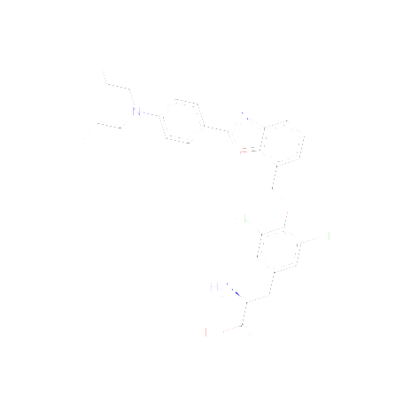 N[C@@H](Cc1cc(Cl)c(OCc2cccc3nc(-c4ccc(N(CCCl)CCCl)cc4)oc23)c(Cl)c1)C(=O)O